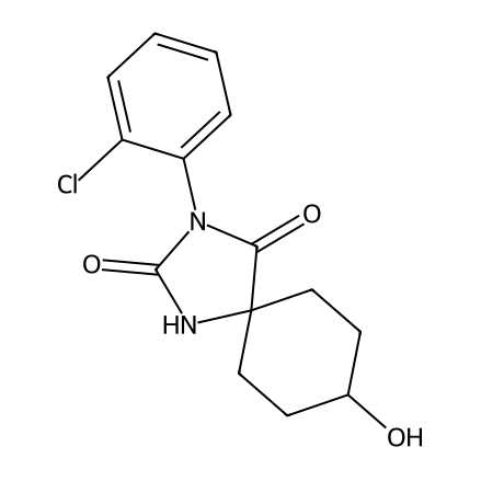 O=C1NC2(CCC(O)CC2)C(=O)N1c1ccccc1Cl